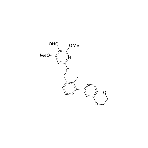 COc1nc(OCc2cccc(-c3ccc4c(c3)OCCO4)c2C)nc(OC)c1C=O